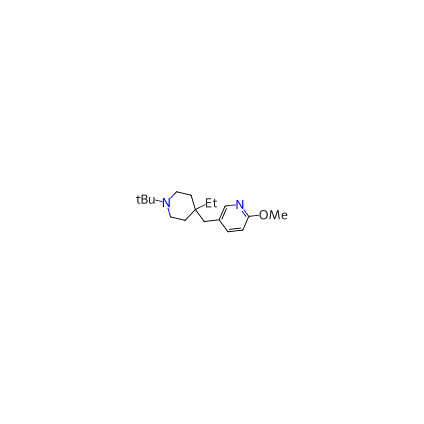 CCC1(Cc2ccc(OC)nc2)CCN(C(C)(C)C)CC1